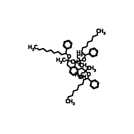 CCCCCCCCC(OC(C)(C)Cc1ccc(O)c(CC(C)(C)OC(CCCCCCCC)c2ccccc2)c1CC(C)(C)OC(CCCCCCCC)c1ccccc1)c1ccccc1